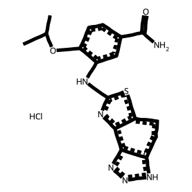 CC(C)Oc1ccc(C(N)=O)cc1Nc1nc2c(ccc3[nH]nnc32)s1.Cl